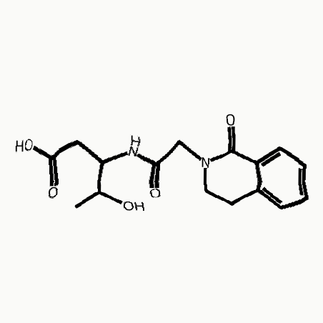 CC(O)C(CC(=O)O)NC(=O)CN1CCc2ccccc2C1=O